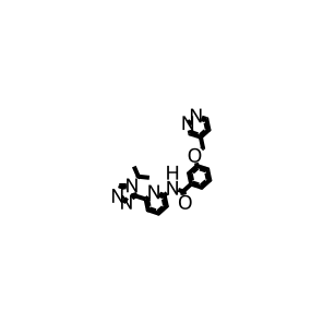 CC(C)n1cnnc1-c1cccc(NC(=O)c2cccc(OCc3ccnnc3)c2)n1